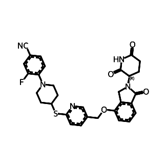 N#Cc1ccc(N2CCC(Sc3ccc(COc4cccc5c4CN([C@@H]4CCC(=O)NC4=O)C5=O)cn3)CC2)c(F)c1